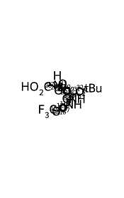 CC(C)(C)C1CCC(C(NC(=O)Nc2ccc(OC(F)(F)F)cc2)c2ccc(S(=O)(=O)NCCC(=O)O)cc2)CC1